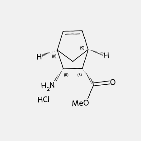 COC(=O)[C@@H]1[C@H](N)[C@H]2C=C[C@@H]1C2.Cl